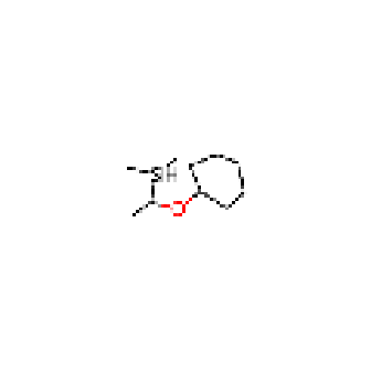 CC(OC1CCCCC1)[SiH](C)C